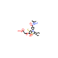 CCCCC1(CCCC)CN(c2ccc(C(=O)NC(C)C)cc2)c2cc(SC)c(OC=CC(=O)O)cc2S(=O)(=O)C1